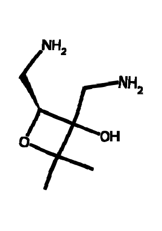 CC1(C)O[C@@H](CN)C1(O)CN